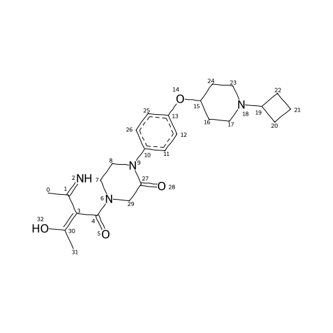 CC(=N)/C(C(=O)N1CCN(c2ccc(OC3CCN(C4CCC4)CC3)cc2)C(=O)C1)=C(/C)O